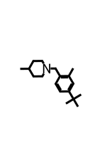 Cc1cc(C(C)(C)C)ccc1CN1CCC(C)CC1